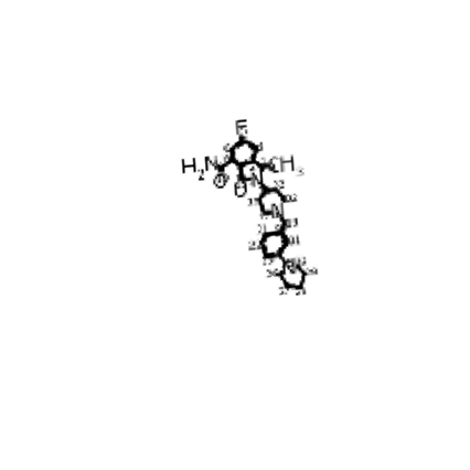 CC1c2cc(F)cc(C(N)=O)c2C(=O)N1C1CCN(Cc2cccc(N3CCCCC3)c2)CC1